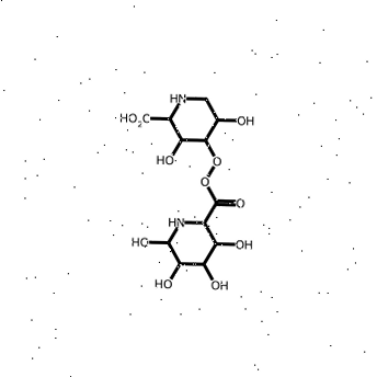 O=C(OOC1C(O)CNC(C(=O)O)C1O)C1NC(O)C(O)C(O)C1O